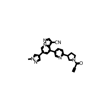 C#CC(=O)N1CCC(c2ccc(-c3cc(-c4cnn(C)c4)cn4ncc(C#N)c34)cn2)C1